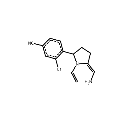 C=CN1/C(=C\N)CCC1c1ccc(C#N)cc1CC